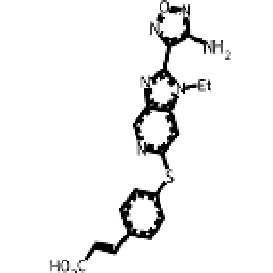 CCn1c(-c2nonc2N)nc2cnc(Sc3ccc(C=CC(=O)O)cc3)cc21